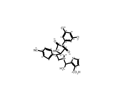 CC(c1sccc1C(=O)O)N1C[C@@H](c2ccc(C#N)cc2)[C@@]2(C1)NC(=O)N(c1cc(Cl)cc(Cl)c1)C2=O